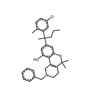 CCCC(C)(c1cc(O)c2c(c1)OC(C)(C)C1=C2CN(Cc2ccccc2)CC1)c1cc(Cl)ccc1C